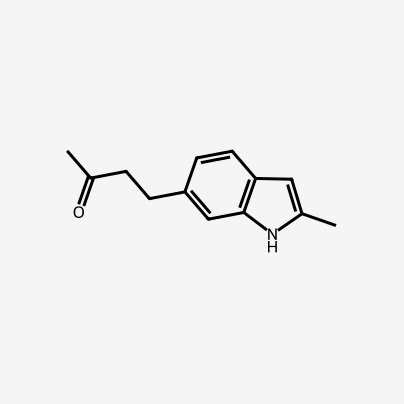 CC(=O)CCc1ccc2cc(C)[nH]c2c1